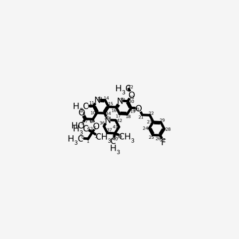 CCC(C)(C)O[C@H](C(=O)O)c1c(C)ncc(-c2ccc(OCCc3ccc(F)cc3)c(OC)n2)c1N1CCC(C)(C)CC1